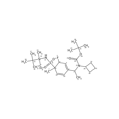 CC(C1=CC(F)C(C)(S(=O)(=O)N[Si](C)(C)C(C)(C)C)C=C1)N(C(=O)OC(C)(C)C)C1CCC1